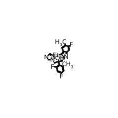 CCc1c2cc(C)c(F)cc2nn1[C@H](C)[C@](O)(Cn1cncn1)c1ccc(F)cc1F